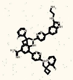 N=C(N)c1ccc(NN(CC2(c3ncccc3F)CCC2)c2ccc(-c3ccc4[nH]nc(NCCN)c4c3)nn2)c(-c2ccc(NCC3(c4ncccc4F)CCC3)nn2)c1